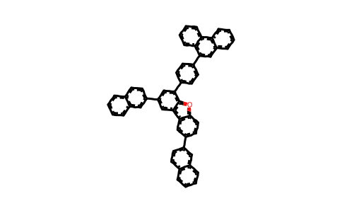 c1ccc2cc(-c3ccc4oc5c(-c6ccc(-c7cc8ccccc8c8ccccc78)cc6)cc(-c6ccc7ccccc7c6)cc5c4c3)ccc2c1